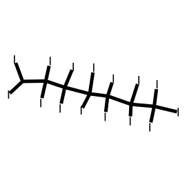 IC(I)C(I)(I)C(I)(I)C(I)(I)C(I)(I)C(I)(I)C(I)(I)I